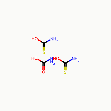 NC(=O)O.NC(O)=S.NC(O)=S